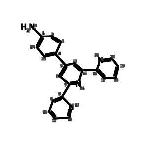 Nc1ccc(-c2cc(-c3ccccn3)nc(-c3ccccn3)c2)cc1